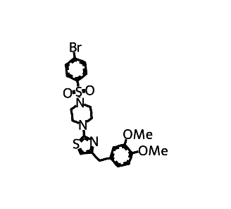 COc1ccc(Cc2csc(N3CCN(S(=O)(=O)c4ccc(Br)cc4)CC3)n2)cc1OC